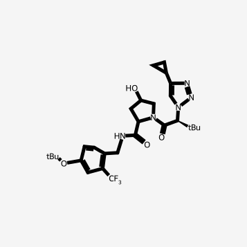 CC(C)(C)Oc1ccc(CNC(=O)C2CC(O)CN2C(=O)[C@@H](n2cc(C3CC3)nn2)C(C)(C)C)c(C(F)(F)F)c1